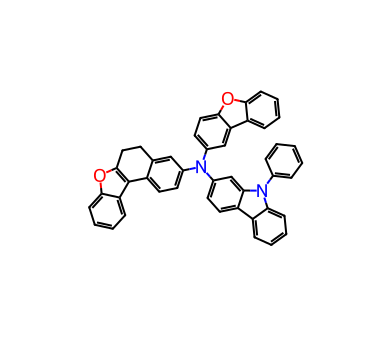 c1ccc(-n2c3ccccc3c3ccc(N(c4ccc5c(c4)CCc4oc6ccccc6c4-5)c4ccc5oc6ccccc6c5c4)cc32)cc1